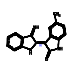 Cc1ccc2c(c1)/C(=C1/Nc3ccccc3C1=N)C(=O)N2